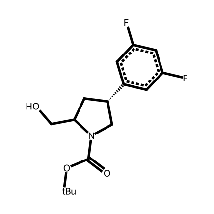 CC(C)(C)OC(=O)N1C[C@@H](c2cc(F)cc(F)c2)CC1CO